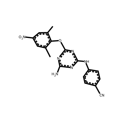 Cc1cc([N+](=O)[O-])cc(C)c1Oc1nc(N)nc(Nc2ccc(C#N)cc2)n1